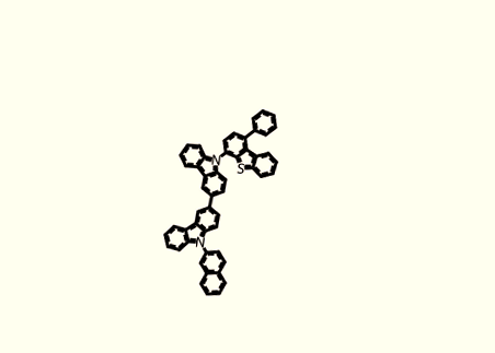 c1ccc(-c2ccc(-n3c4ccccc4c4cc(-c5ccc6c(c5)c5ccccc5n6-c5ccc6ccccc6c5)ccc43)c3sc4ccccc4c23)cc1